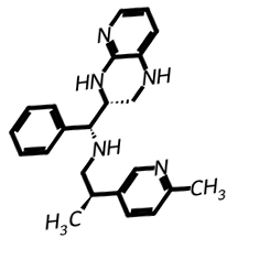 Cc1ccc([C@@H](C)CN[C@H](c2ccccc2)[C@H]2CNc3cccnc3N2)cn1